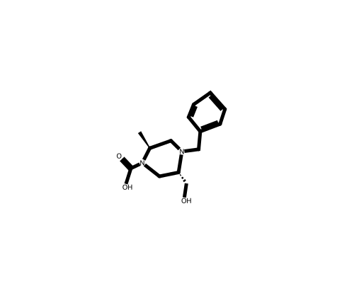 C[C@H]1CN(Cc2ccccc2)[C@H](CO)CN1C(=O)O